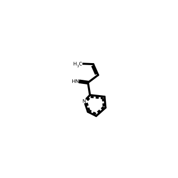 C/C=C\C(=N)c1ccccn1